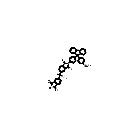 CNc1ccc(C2(c3ccc(N4C(=O)c5ccc(C(C)(c6ccc7c(c6)C(=O)N(C)C7=O)C(F)(F)F)cc5C4=O)cc3)c3ccccc3-c3ccccc32)cc1